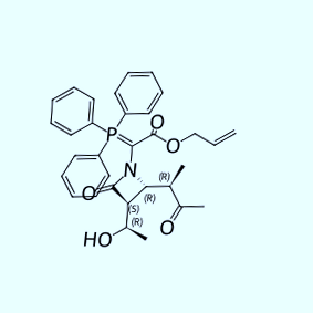 C=CCOC(=O)C(N1C(=O)[C@H]([C@@H](C)O)[C@H]1[C@@H](C)C(C)=O)=P(c1ccccc1)(c1ccccc1)c1ccccc1